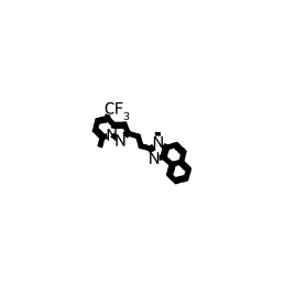 Cc1ccc(C(F)(F)F)c2cc(CCc3nc4c5ccccc5ccc4n3C)nn12